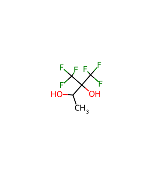 CC(O)C(O)(C(F)(F)F)C(F)(F)F